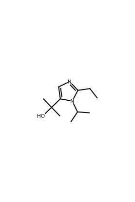 CCc1ncc(C(C)(C)O)n1C(C)C